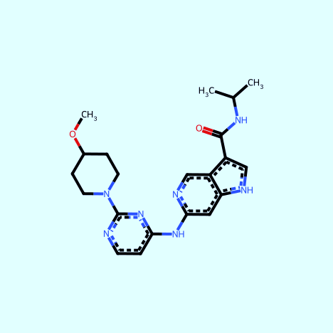 COC1CCN(c2nccc(Nc3cc4[nH]cc(C(=O)NC(C)C)c4cn3)n2)CC1